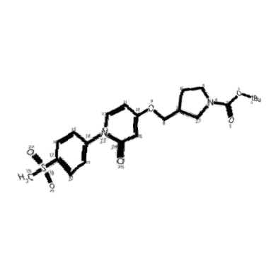 CC(C)(C)OC(=O)N1CCC(COc2ccn(-c3ccc(S(C)(=O)=O)cc3)c(=O)c2)C1